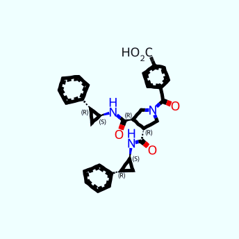 O=C(O)c1ccc(C(=O)N2C[C@H](C(=O)N[C@H]3C[C@@H]3c3ccccc3)[C@@H](C(=O)N[C@H]3C[C@@H]3c3ccccc3)C2)cc1